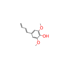 C=C/C=C/c1cc(OC)c(O)c(OC)c1